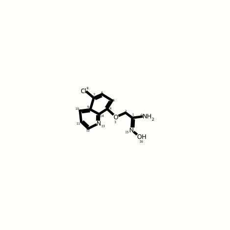 NC(COc1ccc(Cl)c2cccnc12)=NO